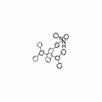 C[C@@]12CC=CC=C1C(c1cc(-c3ccccc3)cc(-c3ccccc3)c1)=C1CC(c3ccc(C4Nc5ccccc5N4c4ccccc4)cc3)C=CC1=C2c1cc(C2C=CCCC2)cc(C2C=CCCC2)c1